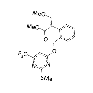 COC=C(C(=O)OC)c1ccccc1COc1cc(C(F)(F)F)nc(SC)n1